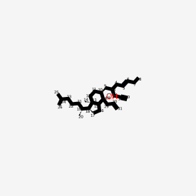 C#CCC(C/C=C/CC)C[C@@H]1CC[C@@]2(C)C(CC[C@@H]2[C@H](C)CCCC(C)C)[C@]1(O)CC=C